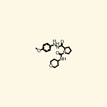 COc1ccc(NNC(=O)C2CCCN2C(=O)NC2CCOCC2)cc1